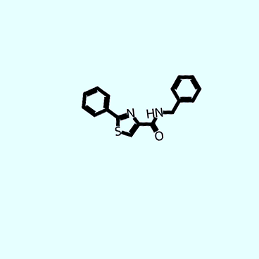 O=C(NCc1ccccc1)c1csc(-c2ccccc2)n1